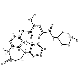 COc1cc(C(=O)NC2CCN(C)CC2)ccc1Nc1ncc2c(n1)N(c1ccccc1C)CCC(=O)N2C